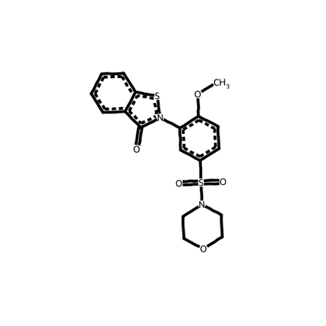 COc1ccc(S(=O)(=O)N2CCOCC2)cc1-n1sc2ccccc2c1=O